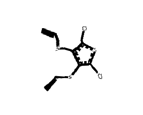 C=CSc1c(Cl)sc(Cl)c1SC=C